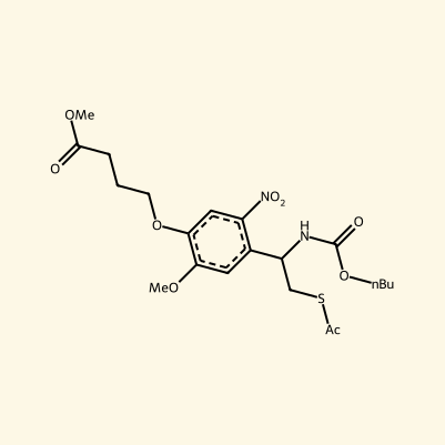 CCCCOC(=O)NC(CSC(C)=O)c1cc(OC)c(OCCCC(=O)OC)cc1[N+](=O)[O-]